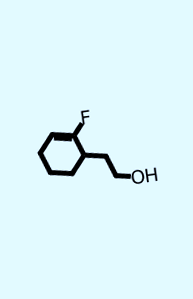 OCCC1CCCC=C1F